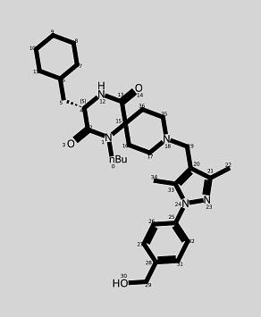 CCCCN1C(=O)[C@H](CC2CCCCC2)NC(=O)C12CCN(Cc1c(C)nn(-c3ccc(CO)cc3)c1C)CC2